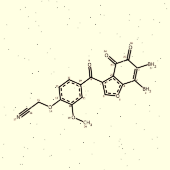 BC1=C(B)c2occ(C(=O)c3ccc(OCC#N)c(OC)c3)c2C(=O)C1=O